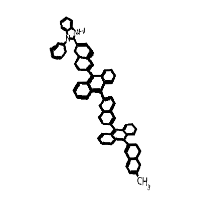 CC1=CC=C2C=C(c3c4c(c(C5=CC6=CC=C(c7c8c(c(C9=CC%10=CC=C(C%11Nc%12ccccc%12N%11C%11C=CC=CC%11)CC%10CC9)c9ccccc79)=CCCC=8)CC6CC5)c5ccccc35)=CCCC=4)CCC2C1